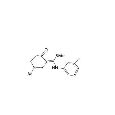 CS/C(Nc1cccc(C)c1)=C1/CN(C(C)=O)CCC1=O